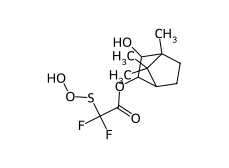 CC1(C)C2CCC1(C)C(O)C2OC(=O)C(F)(F)SOO